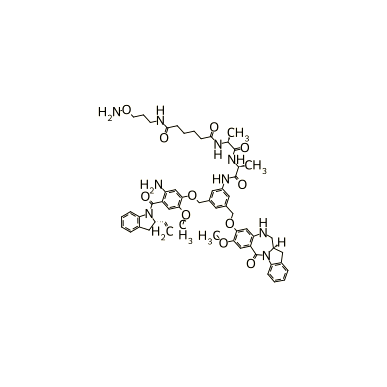 C=C[C@@H]1Cc2ccccc2N1C(=O)c1cc(OC)c(OCc2cc(COc3cc4c(cc3OC)C(=O)N3c5ccccc5C[C@H]3CN4)cc(NC(=O)[C@H](C)NC(=O)[C@H](C)NC(=O)CCCCC(=O)NCCCON)c2)cc1N